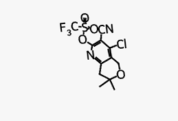 CC1(C)Cc2nc(OS(=O)(=O)C(F)(F)F)c(C#N)c(Cl)c2CO1